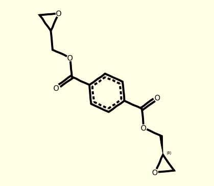 O=C(OCC1CO1)c1ccc(C(=O)OC[C@H]2CO2)cc1